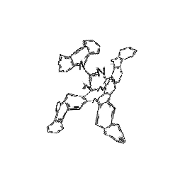 c1ccc2cc3c(cc2c1)c1ccccc1n3-c1cc2c(cc1-c1nc(-c3cccc4c3sc3ccccc34)nc(-n3c4ccccc4c4ccccc43)n1)oc1ccccc12